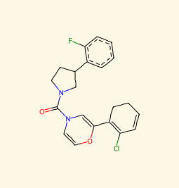 O=C(N1C=COC(C2=C(Cl)C=CCC2)=C1)N1CCC(c2ccccc2F)C1